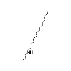 CCCCCCC=CCCCCCCCNCCC